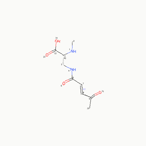 CN[C@H](CNC(=O)/C=C/C(C)=O)C(=O)O